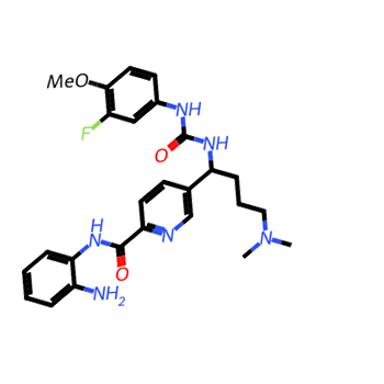 COc1ccc(NC(=O)NC(CCCN(C)C)c2ccc(C(=O)Nc3ccccc3N)nc2)cc1F